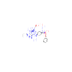 CCn1cnc2c(Nc3ccc(NC(=O)OCc4ccccc4)cc3)nc(NCCO)nc21